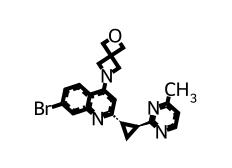 Cc1ccnc([C@H]2C[C@@H]2c2cc(N3CC4(COC4)C3)c3ccc(Br)cc3n2)n1